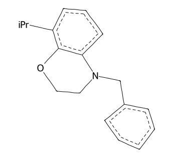 CC(C)c1cccc2c1OCCN2Cc1ccccc1